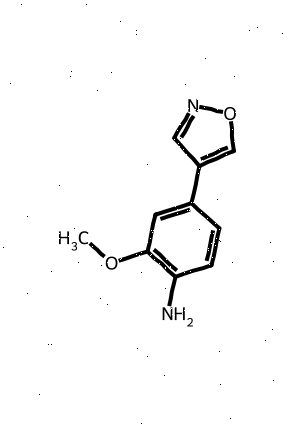 COc1cc(-c2cnoc2)ccc1N